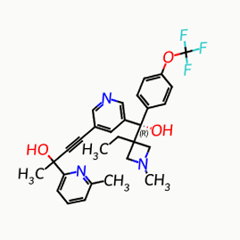 CCC1([C@](O)(c2ccc(OC(F)(F)F)cc2)c2cncc(C#CC(C)(O)c3cccc(C)n3)c2)CN(C)C1